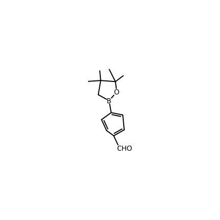 CC1(C)CB(c2ccc(C=O)cc2)OC1(C)C